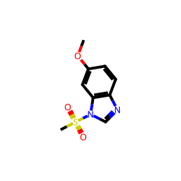 COc1ccc2ncn(S(C)(=O)=O)c2c1